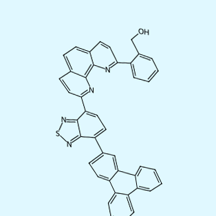 OCc1ccccc1-c1ccc2ccc3ccc(-c4ccc(-c5ccc6c7ccccc7c7ccccc7c6c5)c5nsnc45)nc3c2n1